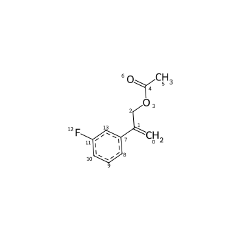 C=C(COC(C)=O)c1cccc(F)c1